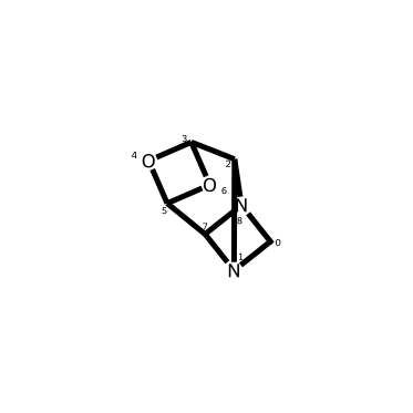 C1N2C3C4OC(O4)C2N13